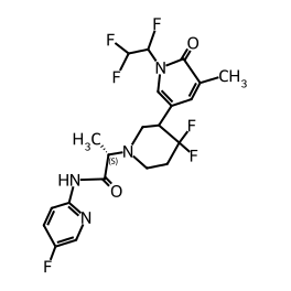 Cc1cc(C2CN([C@@H](C)C(=O)Nc3ccc(F)cn3)CCC2(F)F)cn(C(F)C(F)F)c1=O